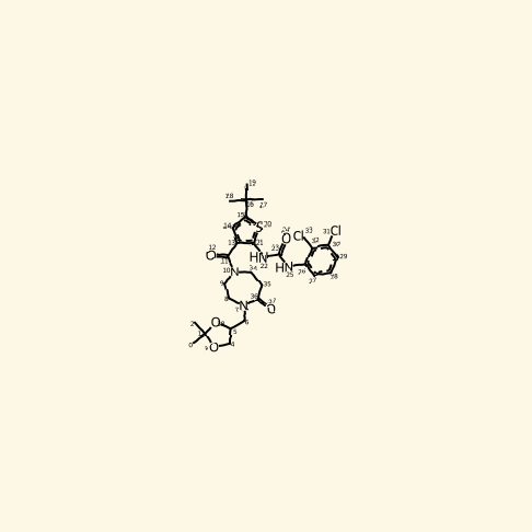 CC1(C)OCC(CN2CCN(C(=O)c3cc(C(C)(C)C)sc3NC(=O)Nc3cccc(Cl)c3Cl)CCC2=O)O1